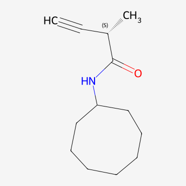 C#C[C@H](C)C(=O)NC1CCCCCCC1